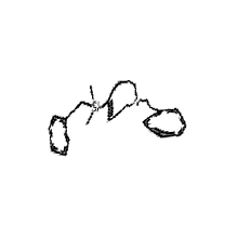 C[Si](C)(Cc1ccccc1)C1=CCN(Cc2ccccc2)CC1